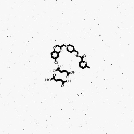 Cc1cccc(C(=O)NCC2CCN(CC3COc4ccc(Cl)cc4O3)CC2)n1.O=C(O)C=CC(=O)O.O=C(O)C=CC(=O)O